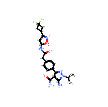 CC(C)n1nc(-c2ccc(CC(=O)Nc3cc(C4CC(F)(F)C4)no3)cc2)c(C(N)=O)c1N